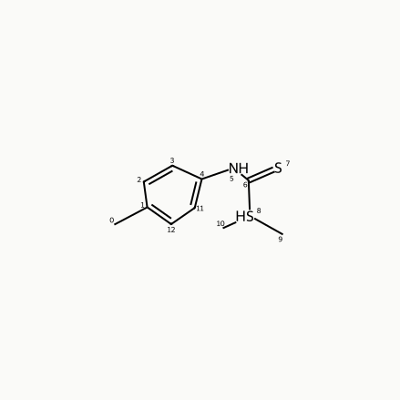 Cc1ccc(NC(=S)[SH](C)C)cc1